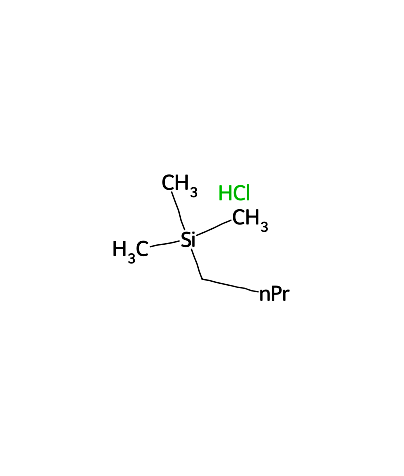 CCCC[Si](C)(C)C.Cl